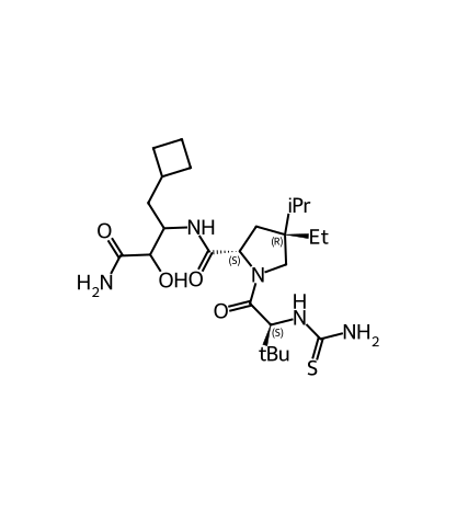 CC[C@]1(C(C)C)C[C@@H](C(=O)NC(CC2CCC2)C(O)C(N)=O)N(C(=O)[C@@H](NC(N)=S)C(C)(C)C)C1